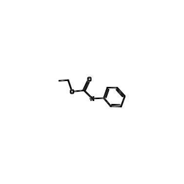 CCOC(=O)[N]c1ccccc1